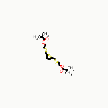 C=C(C)C(=O)OCCSCc1ccc(CSCCOC(=O)C(=C)C)s1